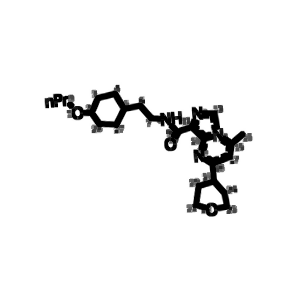 CCCOC1CCC(CCNC(=O)c2ncn3c(C)cc(C4CCOCC4)nc23)CC1